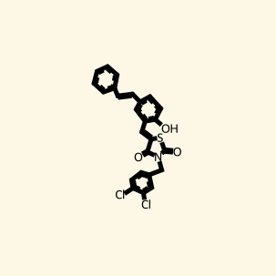 O=C1SC(=Cc2cc(C=Cc3ccccc3)ccc2O)C(=O)N1Cc1ccc(Cl)c(Cl)c1